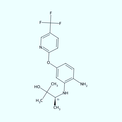 C[C@H](Nc1cc(Oc2ccc(C(F)(F)F)cn2)ccc1N)C(C)(C)O